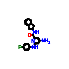 Nc1cc(Nc2ccc(F)cc2)nc(C(=O)NC2Cc3ccccc3C2)c1